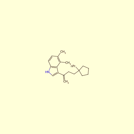 C=C(CCC1(CCC)CCCC1)c1c[nH]c2ccc(C)c(C)c12